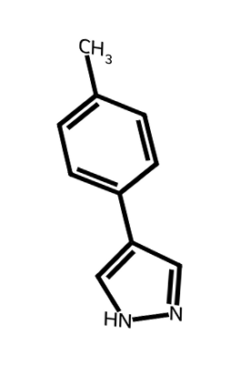 Cc1ccc(-c2cn[nH]c2)cc1